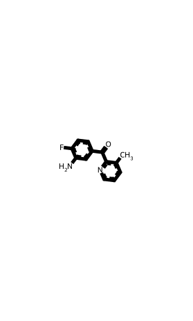 Cc1cccnc1C(=O)c1ccc(F)c(N)c1